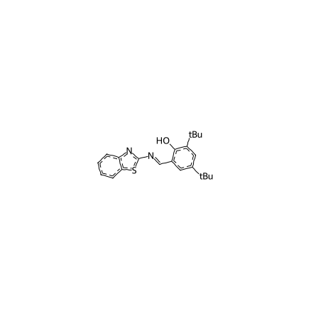 CC(C)(C)c1cc(/C=N/c2nc3ccccc3s2)c(O)c(C(C)(C)C)c1